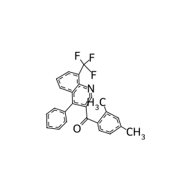 Cc1ccc(C(=O)c2cnc3c(C(F)(F)F)cccc3c2-c2ccccc2)c(C)c1